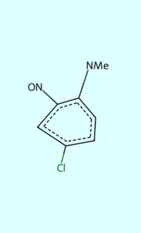 CNc1ccc(Cl)cc1N=O